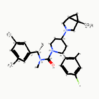 Cc1cc(F)ccc1[C@H]1CC(N2CC3CC3(C(=O)O)C2)CCN1C(=O)N(C)[C@@H](C)c1cc(C(F)(F)F)cc(C(F)(F)F)c1